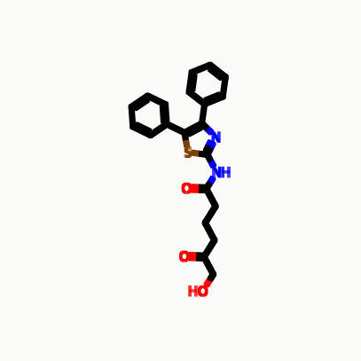 O=C(CO)CCCC(=O)Nc1nc(-c2ccccc2)c(-c2ccccc2)s1